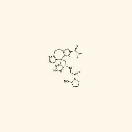 CN(C)C(=O)c1cc2c(s1)C(CCNCC(=O)N1CCC[C@H]1C#N)(c1nn[nH]n1)c1ccsc1CC2